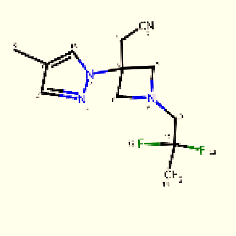 Cc1cnn(C2(CC#N)CN(CC(F)(F)C(F)(F)F)C2)c1